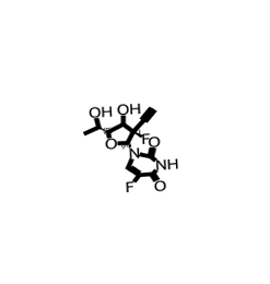 C#C[C@@]1(F)C(O)[C@@H](C(C)O)O[C@H]1n1cc(F)c(=O)[nH]c1=O